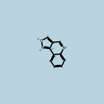 c1ccc2c(c1)ncc1conc12